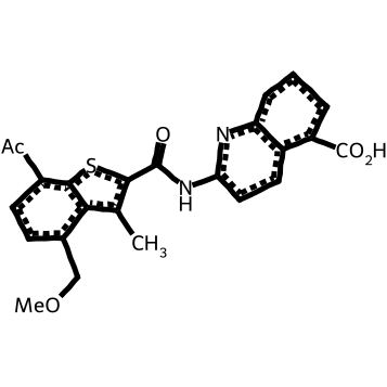 COCc1ccc(C(C)=O)c2sc(C(=O)Nc3ccc4c(C(=O)O)cccc4n3)c(C)c12